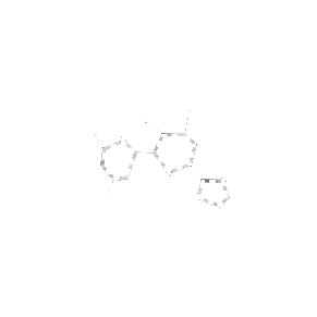 Cc1cc(Cl)nc(-c2nc(-c3nccs3)cc(N)c2Br)c1